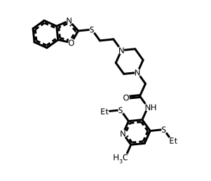 CCSc1cc(C)nc(SCC)c1NC(=O)CN1CCN(CCSc2nc3ccccc3o2)CC1